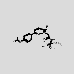 CC(C)(C)NC(=O)Cn1nc(-c2ccc(OC(F)F)cc2)ccc1=O